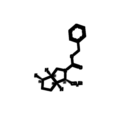 CCOC(=O)[C@@H]1[C@H]2CC[C@H](F)[C@H]2CN1C(=O)OCc1ccccc1